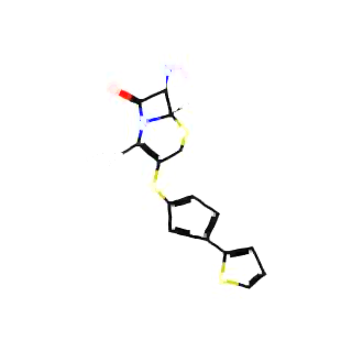 N[C@@H]1C(=O)N2C(C(=O)O)=C(Sc3ccc(-c4cccs4)cc3)CS[C@@H]12